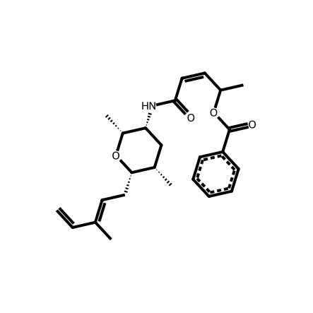 C=C/C(C)=C/C[C@@H]1O[C@H](C)[C@H](NC(=O)/C=C\C(C)OC(=O)c2ccccc2)C[C@@H]1C